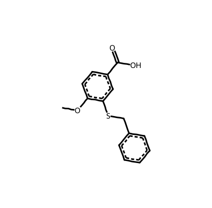 COc1ccc(C(=O)O)cc1SCc1ccccc1